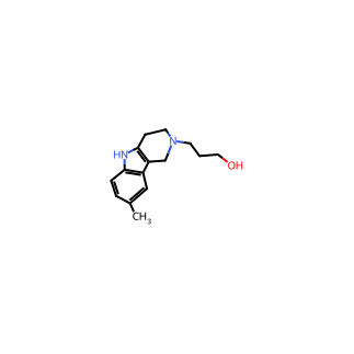 Cc1ccc2[nH]c3c(c2c1)CN(CCCO)CC3